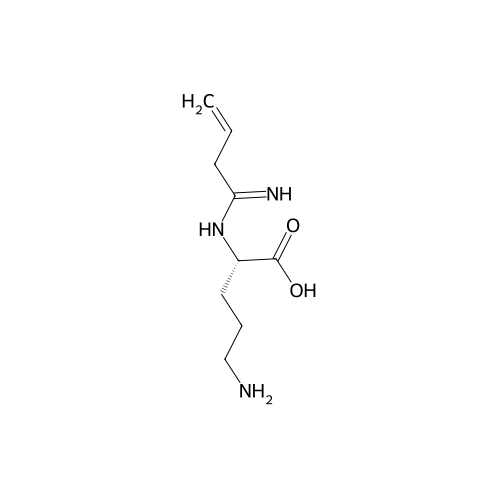 C=CCC(=N)N[C@@H](CCCN)C(=O)O